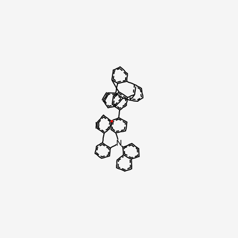 c1cccc(-c2ccccc2N(c2ccc(-c3ccc4c(c3)-c3c5cccc3-c3cccc-4c3-c3c#cccc3-5)cc2)c2cccc3ccccc23)c#1